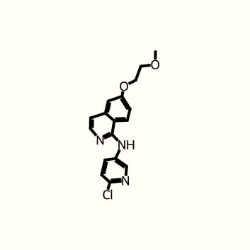 COCCOc1ccc2c(Nc3ccc(Cl)nc3)nccc2c1